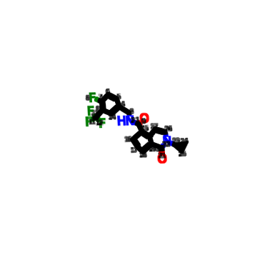 O=C(NCc1ccc(F)c(C(F)(F)F)c1)c1cccc2c(=O)n(C3CC3)ccc12